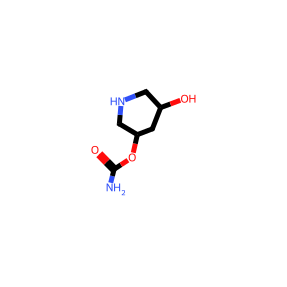 NC(=O)OC1CNCC(O)C1